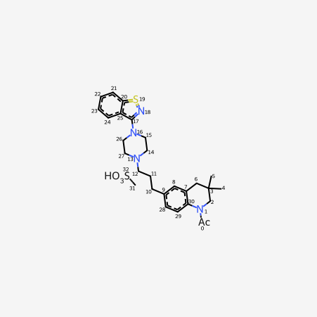 CC(=O)N1CC(C)(C)Cc2cc(CCCN3CCN(c4nsc5ccccc45)CC3)ccc21.CS(=O)(=O)O